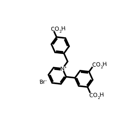 O=C(O)c1ccc(C[n+]2ccccc2-c2cc(C(=O)O)cc(C(=O)O)c2)cc1.[Br-]